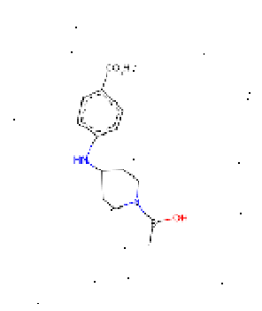 CB(O)N1CCC(Nc2ccc(C(=O)O)cc2)CC1